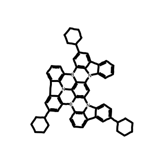 c1ccc2c(c1)c1cc(C3CCCCC3)cc3c1n2-c1cc2c4c5c1B3c1cccc3c6cc(C7CCCCC7)cc(c6n-5c13)B4c1cccc3c4cc(C5CCCCC5)ccc4n-2c13